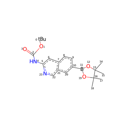 CC(C)(C)OC(=O)Nc1cc2ccc(B3OC(C)(C)C(C)(C)O3)cc2cn1